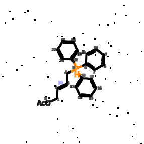 CC(=O)OC/C=C/C[PH](c1ccccc1)(c1ccccc1)c1ccccc1